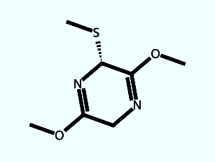 COC1=N[C@H](SC)C(OC)=NC1